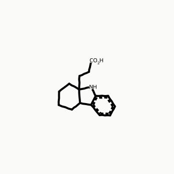 O=C(O)CCC12CCCCC1c1ccccc1N2